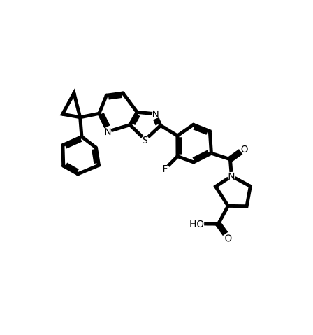 O=C(O)C1CCN(C(=O)c2ccc(-c3nc4ccc(C5(c6ccccc6)CC5)nc4s3)c(F)c2)C1